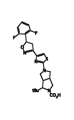 CC(C)(C)C1C2CN(c3nc(C4=NOC(c5c(F)cccc5F)C4)cs3)CC2CN1C(=O)O